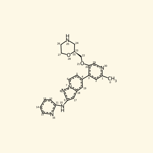 Cc1cc(-c2ccn3nc(Nc4ccccn4)cc3c2)c(OC[C@@H]2CNCCO2)cn1